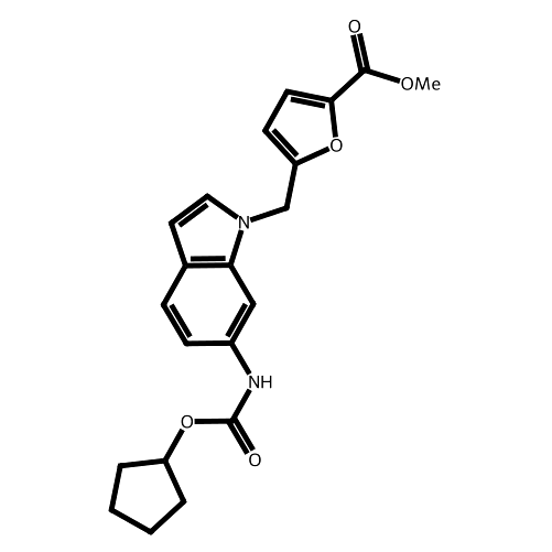 COC(=O)c1ccc(Cn2ccc3ccc(NC(=O)OC4CCCC4)cc32)o1